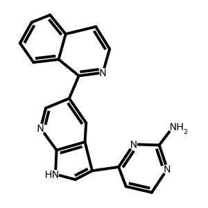 Nc1nccc(-c2c[nH]c3ncc(-c4nccc5ccccc45)cc23)n1